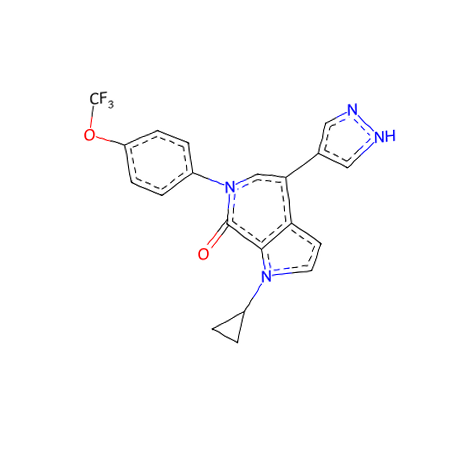 O=c1c2c(ccn2C2CC2)c(-c2cn[nH]c2)cn1-c1ccc(OC(F)(F)F)cc1